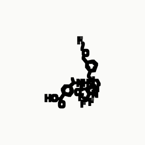 CC(NC(=O)c1c(C(F)(F)F)nn2c1N(Cc1cccc(COCCF)c1)CC2)c1ccc(C(=O)O)cc1